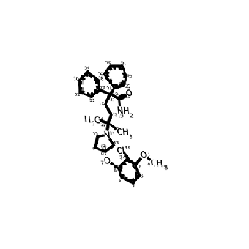 COc1cccc(O[C@@H]2CCN(C(C)(C)CCC(C(N)=O)(c3ccccc3)c3ccccc3)C2)c1Cl